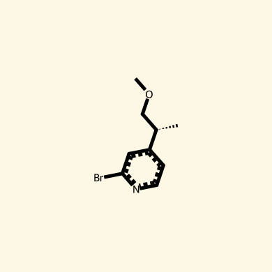 COC[C@H](C)c1ccnc(Br)c1